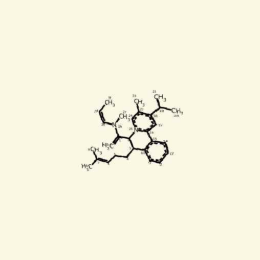 C=C(C1C(CCC=C(C)C)c2ccccc2-c2cc(C(C)C)c(C)c[n+]21)N(C)/C=C\C